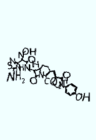 Nc1nc(/C(=N/O)C(=O)N[C@@H]2C(=O)N3C(C(=O)O)=C(C=C4CCN(c5ccc(O)cc5)C4=O)CC[C@H]23)ns1